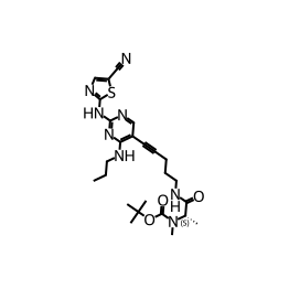 CCCNc1nc(Nc2ncc(C#N)s2)ncc1C#CCCCNC(=O)[C@H](C)N(C)C(=O)OC(C)(C)C